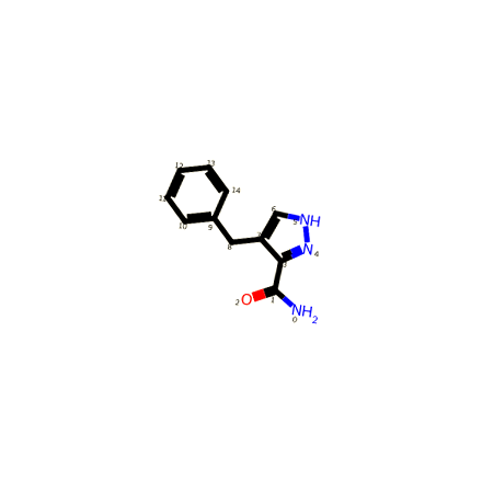 NC(=O)c1n[nH]cc1Cc1ccccc1